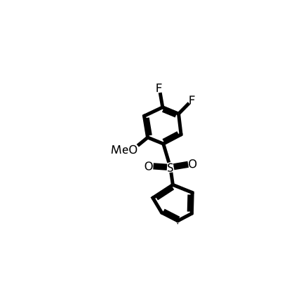 COc1cc(F)c(F)cc1S(=O)(=O)c1cc[c]cc1